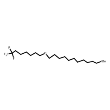 CC(C)(C)CCCCCCCCCCCOCCCCCCC(F)(F)C(F)(F)F